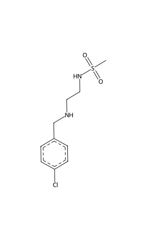 CS(=O)(=O)NCCNCc1ccc(Cl)cc1